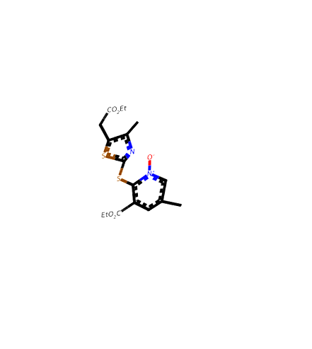 CCOC(=O)Cc1sc(Sc2c(C(=O)OCC)cc(C)c[n+]2[O-])nc1C